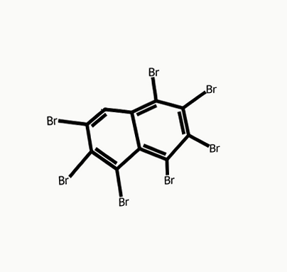 Brc1[c]c2c(Br)c(Br)c(Br)c(Br)c2c(Br)c1Br